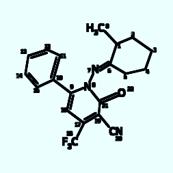 CC1CCCCC1=Nn1c(-c2ccccc2)cc(C(F)(F)F)c(C#N)c1=O